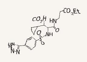 CCOC(=O)CCNC(=O)C(NS(=O)(=O)c1ccc(-c2nnn[nH]2)cc1)C(C(=O)O)C1CC1